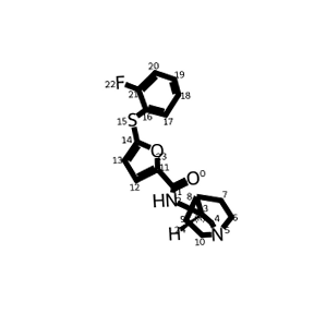 O=C(N[C@H]1CN2CCC1CC2)c1ccc(Sc2ccccc2F)o1